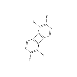 Fc1ccc2c(c1I)-c1ccc(F)c(I)c1-2